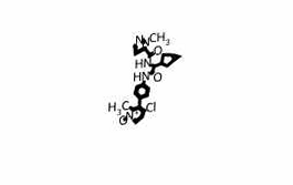 Cc1c(-c2ccc(NC(=O)C(NC(=O)c3ccnn3C)C3CC4CC4C3)cc2)c(Cl)cc[n+]1[O-]